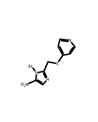 CCn1c([N+](=O)[O-])cnc1CSc1ccncc1